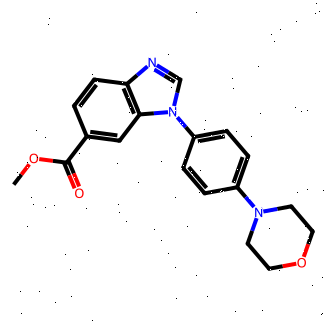 COC(=O)c1ccc2ncn(-c3ccc(N4CCOCC4)cc3)c2c1